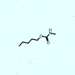 CCCC[CH]OC(=O)NC